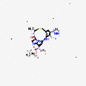 CC1CSCc2cc(c(N)c(N(C)N)c2)Nc2cc(N(C)C(=O)OC(C)(C)C)c3ncc(n3n2)C(=O)N1